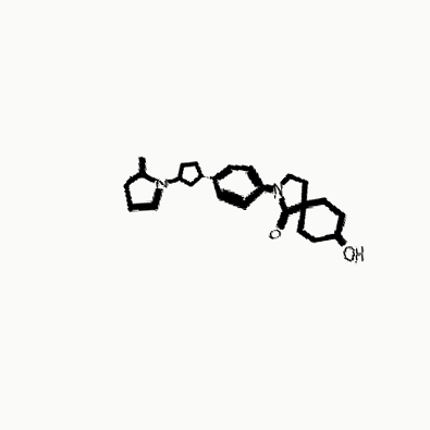 CC1CCCN1C1CC[C@H](c2ccc(N3CCC4(CCC(O)CC4)C3=O)cc2)C1